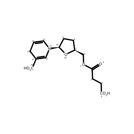 O=C(O)CCC(=O)OC[C@@H]1CC[C@H](N2C=CCC(C(=O)O)=C2)O1